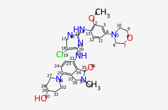 COc1cc(N2CCOCC2)ccc1Nc1ncc(Cl)c(Nc2ccc(N3CCC(O)CC3)c3c2C(=O)N(C)C3)n1